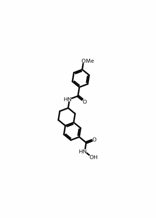 COc1ccc(C(=O)NC2CCc3ccc(C(=O)NO)cc3C2)cc1